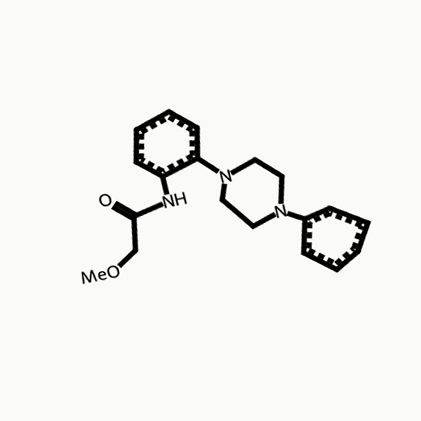 COCC(=O)Nc1ccccc1N1CCN(c2ccccc2)CC1